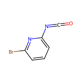 O=C=Nc1cccc(Br)n1